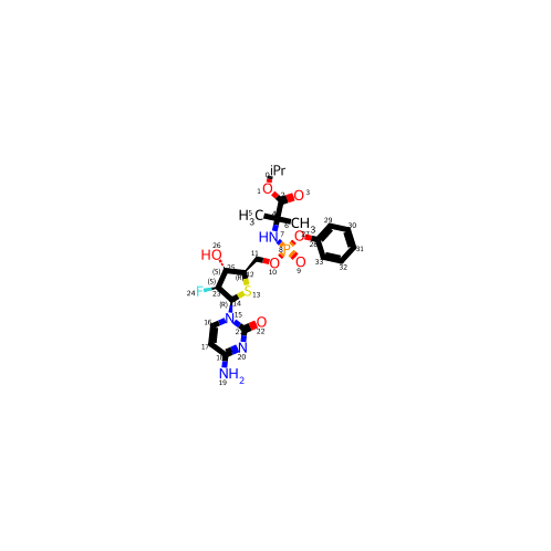 CC(C)OC(=O)C(C)(C)NP(=O)(OC[C@H]1S[C@@H](n2ccc(N)nc2=O)[C@@H](F)[C@@H]1O)Oc1ccccc1